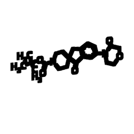 CC(C)(C)OC(=O)N1CCC2(CC1)Cc1ccc(N3CCOCC3=O)cc1C2=O